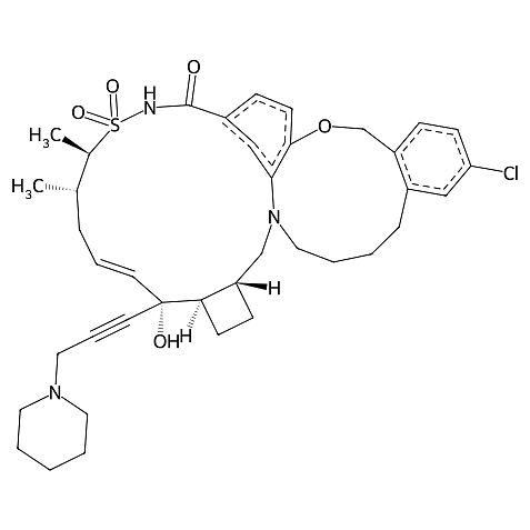 C[C@@H]1[C@@H](C)C/C=C/[C@](O)(C#CCN2CCCCC2)[C@@H]2CC[C@H]2CN2CCCCc3cc(Cl)ccc3COc3ccc(cc32)C(=O)NS1(=O)=O